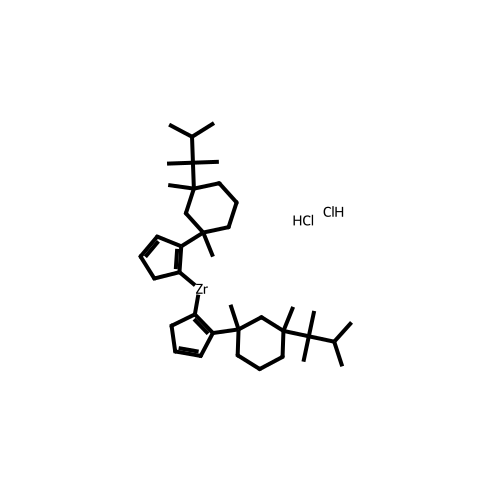 CC(C)C(C)(C)C1(C)CCCC(C)(C2=[C]([Zr][C]3=C(C4(C)CCCC(C)(C(C)(C)C(C)C)C4)C=CC3)CC=C2)C1.Cl.Cl